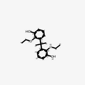 CCOc1c(O)cccc1C(C)(C)c1cccc(O)c1OCC